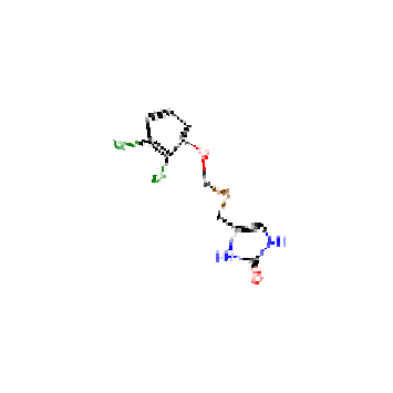 O=c1[nH]cc(CSCOc2cccc(Br)c2Br)[nH]1